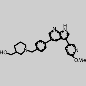 COc1ccc(-c2c[nH]c3ncc(-c4ccc(CN5CCCC(CO)C5)cc4)cc23)cn1